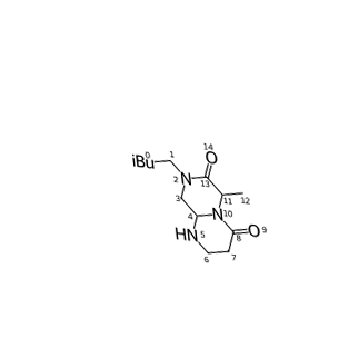 CCC(C)CN1CC2NCCC(=O)N2C(C)C1=O